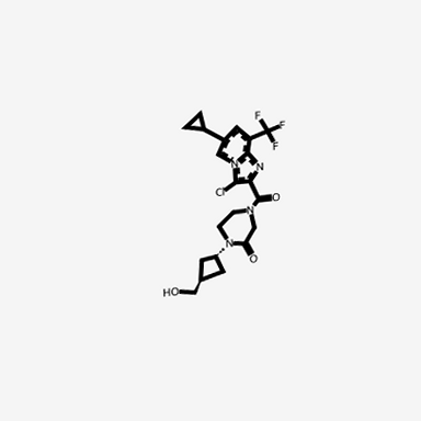 O=C(c1nc2c(C(F)(F)F)cc(C3CC3)cn2c1Cl)N1CCN([C@H]2C[C@H](CO)C2)C(=O)C1